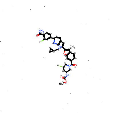 Cc1c(-c2cc3ccc(-c4ccc(C(N)=O)c(F)c4)nc3n2CC2CC2)oc2cc(C(=O)N3C[C@H](F)C[C@@H](NC(=O)OC(C)(C)C)C3)ccc12